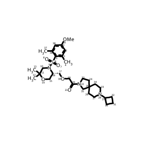 COc1cc(C)c(S(=O)(=O)N2CC(C)(C)OC[C@H]2COCC(=O)N2CCC3(CCN(C4CCC4)CC3)C2)c(C)c1